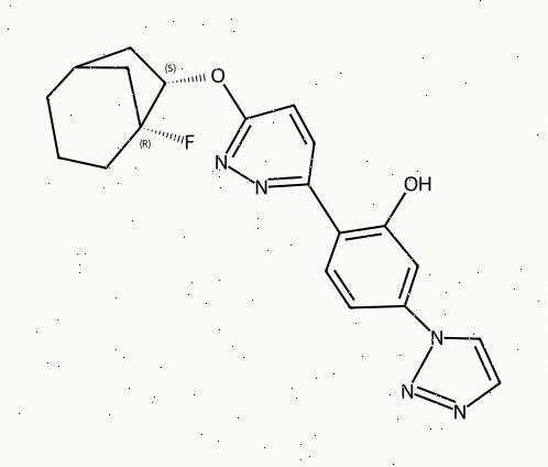 Oc1cc(-n2ccnn2)ccc1-c1ccc(O[C@H]2CC3CCC[C@@]2(F)C3)nn1